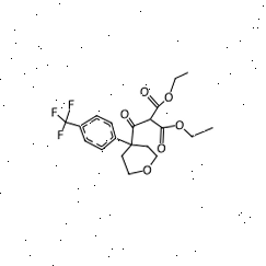 CCOC(=O)C(C(=O)OCC)C(=O)C1(c2ccc(C(F)(F)F)cc2)CCOCC1